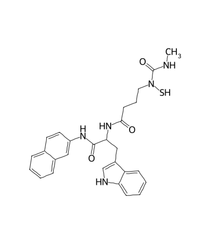 CNC(=O)N(S)CCCC(=O)NC(Cc1c[nH]c2ccccc12)C(=O)Nc1ccc2ccccc2c1